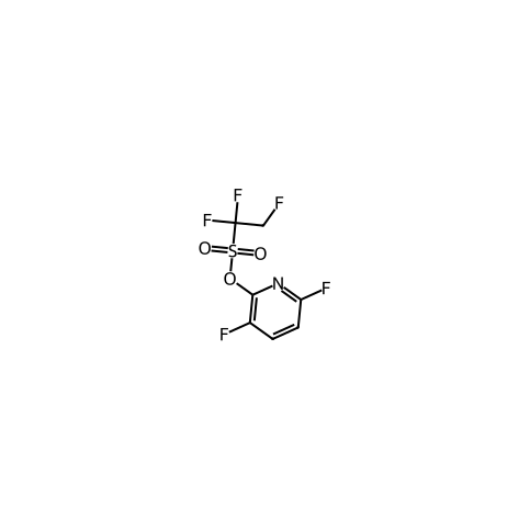 O=S(=O)(Oc1nc(F)ccc1F)C(F)(F)CF